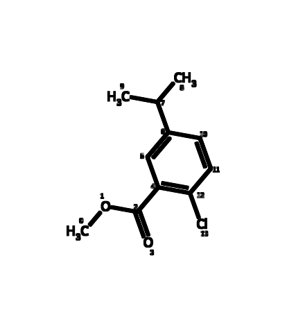 COC(=O)c1cc(C(C)C)ccc1Cl